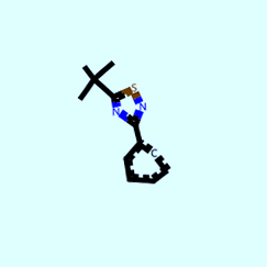 CC(C)(C)c1nc(-c2ccccc2)ns1